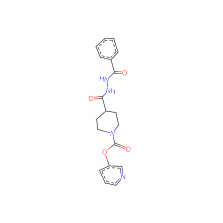 O=C(NNC(=O)C1CCN(C(=O)Oc2cccnc2)CC1)c1ccccc1